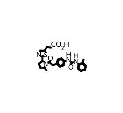 Cc1ccccc1NC(=O)Nc1ccc(CC(=O)N2C(C)CCC2c2ncc(CCC(=O)O)s2)cc1